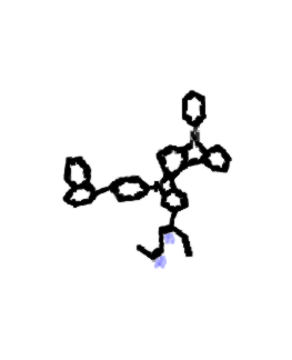 C=C/C(=C\C=C/C)c1ccc2c3c4c5ccccc5n(-c5ccccc5)c4ccc3n(-c3ccc(-c4cccc5ccccc45)cc3)c2c1